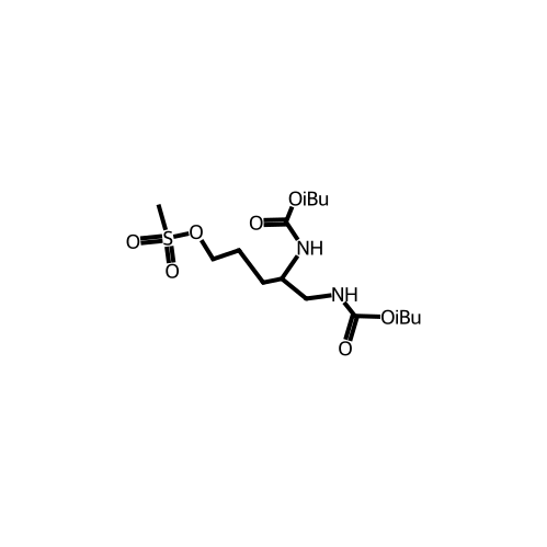 CC(C)COC(=O)NCC(CCCOS(C)(=O)=O)NC(=O)OCC(C)C